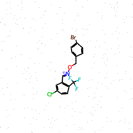 FC(F)(F)c1ccc(Cl)cc1/C=N/OCc1ccc(Br)cc1